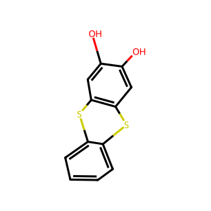 Oc1cc2c(cc1O)Sc1ccccc1S2